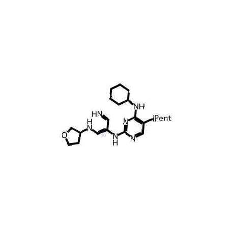 CCCC(C)c1cnc(N/C(C=N)=C/NC2CCOC2)nc1NC1CCCCC1